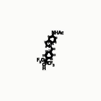 CC(=O)Nc1ccc2c(c1)CCN2Cc1ccc(C(O)(C(F)(F)F)C(F)(F)F)cc1